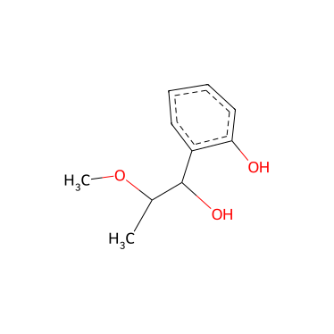 COC(C)C(O)c1ccccc1O